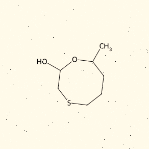 CC1CCCSCC(O)O1